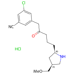 COC[C@@H]1CN[C@H](CCCC(=O)Cc2cc(Cl)cc(C#N)c2)C1.Cl